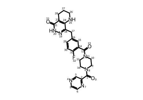 O=C(c1cnccn1)N1CCN(C(=O)c2cc(Cc3n[nH]c(=O)c4c3NCCC4)ccc2F)CC1